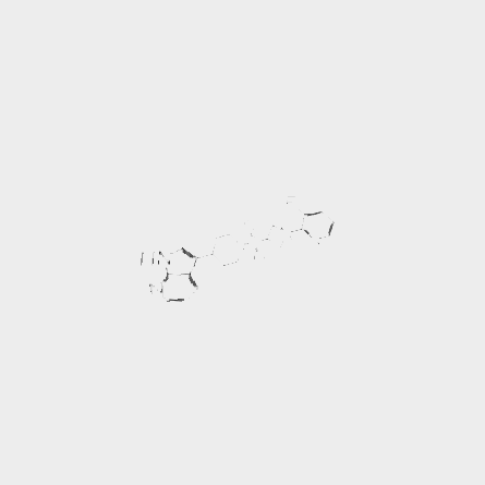 O=S(=O)(C1CN(c2ncccc2F)C1)N1CCC(c2c[nH]c3ncccc23)CC1